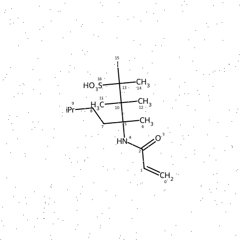 C=CC(=O)NC(C)(CCC(C)C)C(C)(C)C(C)(I)S(=O)(=O)O